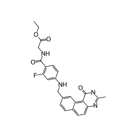 CCOC(=O)CNC(=O)c1ccc(NCc2ccc3ccc4c(c3c2)C(=O)[N]C(C)=N4)cc1F